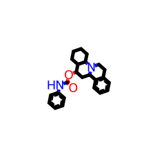 O=C(Nc1ccccc1)OC1CC2c3ccccc3CCN2C2CCCCC12